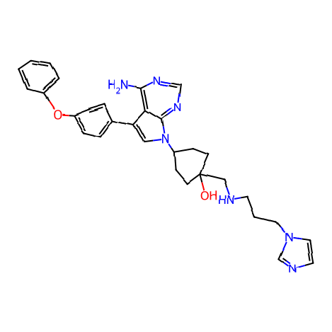 Nc1ncnc2c1c(-c1ccc(Oc3ccccc3)cc1)cn2C1CCC(O)(CNCCCn2ccnc2)CC1